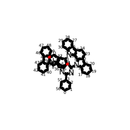 c1ccc(-c2nc(-c3ccccc3)nc(-n3c4ccccc4c4ccc5c6ccccc6n(-c6cccc(-n7c8ccccc8c8ccccc87)c6)c5c43)n2)cc1